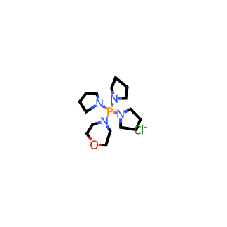 C1CCN([P+](N2CCCC2)(N2CCCC2)N2CCOCC2)C1.[Cl-]